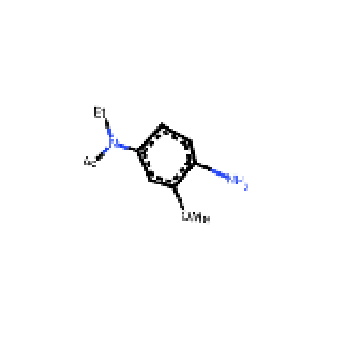 CCN(C(C)=O)c1ccc(N)c(OC)c1